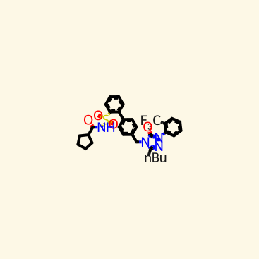 CCCCc1nn(-c2ccccc2C(F)(F)F)c(=O)n1Cc1ccc(-c2ccccc2S(=O)(=O)NC(=O)C2CCCC2)cc1